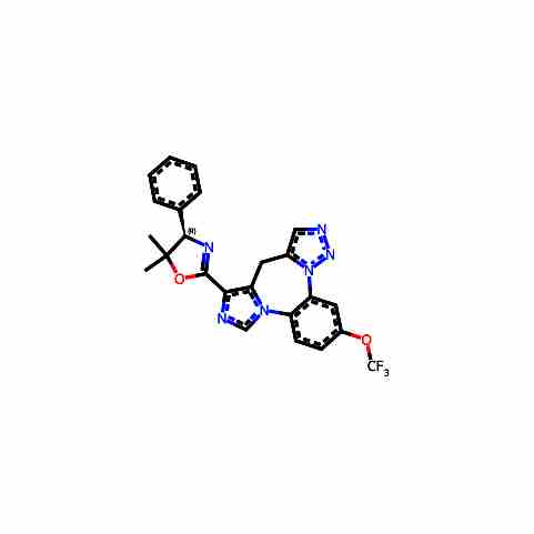 CC1(C)OC(c2ncn3c2Cc2cnnn2-c2cc(OC(F)(F)F)ccc2-3)=N[C@@H]1c1ccccc1